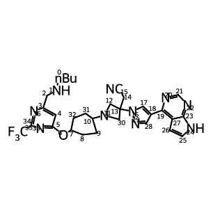 CCCCNCc1cc(OC2CCC(N3CC(CC#N)(n4cc(-c5ncnc6[nH]ccc56)cn4)C3)CC2)nc(C(F)(F)F)n1